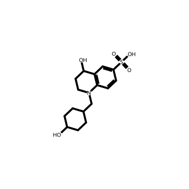 O=S(=O)(O)c1ccc2c(c1)C(O)CCN2CC1CCC(O)CC1